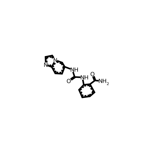 NC(=O)c1ccccc1NC(=O)Nc1ccc2nccn2c1